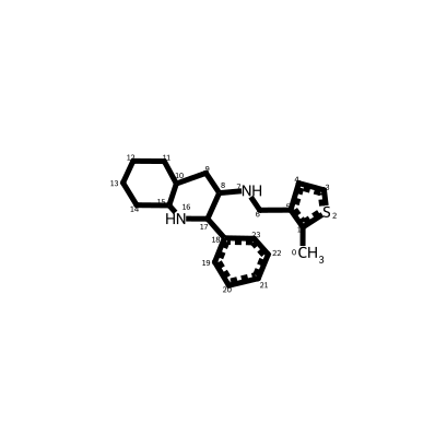 Cc1sccc1CNC1CC2CCCCC2NC1c1ccccc1